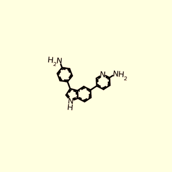 Nc1ccc(-c2c[nH]c3ccc(-c4ccc(N)nc4)cc23)cc1